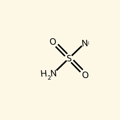 [N]S(N)(=O)=O